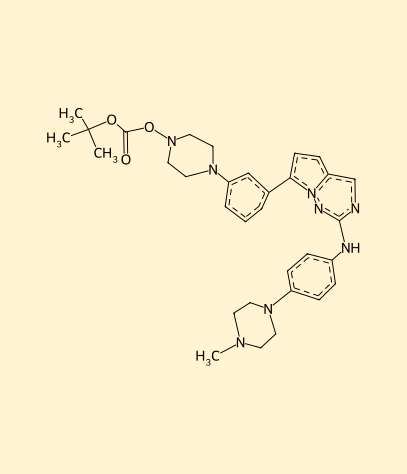 CN1CCN(c2ccc(Nc3ncc4ccc(-c5cccc(N6CCN(OC(=O)OC(C)(C)C)CC6)c5)n4n3)cc2)CC1